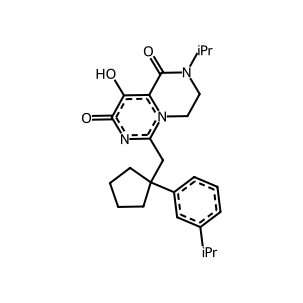 CC(C)c1cccc(C2(Cc3nc(=O)c(O)c4n3CCN(C(C)C)C4=O)CCCC2)c1